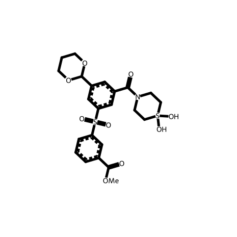 COC(=O)c1cccc(S(=O)(=O)c2cc(C(=O)N3CCS(O)(O)CC3)cc(C3OCCCO3)c2)c1